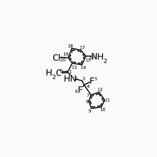 C=C(NCC(F)(F)c1ccccc1)c1cc(N)ccc1Cl